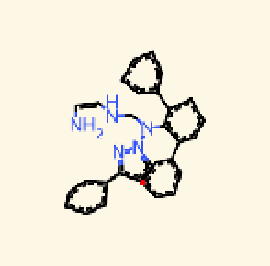 N/C=C\NCN(c1c(-c2ccccc2)cccc1-c1ccccc1)n1ccc(-c2ccccc2)n1